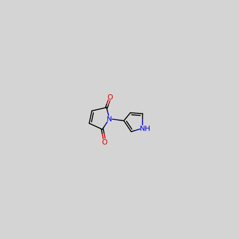 O=C1C=CC(=O)N1c1cc[nH]c1